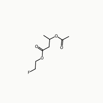 CC(=O)OC(C)CC(=O)OCCF